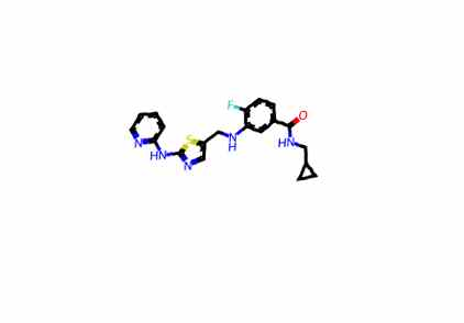 O=C(NCC1CC1)c1ccc(F)c(NCc2cnc(Nc3ccccn3)s2)c1